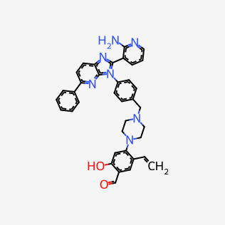 C=Cc1cc(C=O)c(O)cc1N1CCN(Cc2ccc(-n3c(-c4cccnc4N)nc4ccc(-c5ccccc5)nc43)cc2)CC1